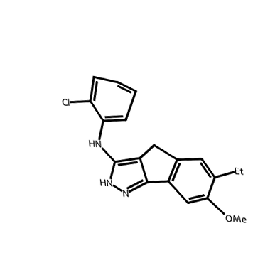 CCc1cc2c(cc1OC)-c1n[nH]c(Nc3ccccc3Cl)c1C2